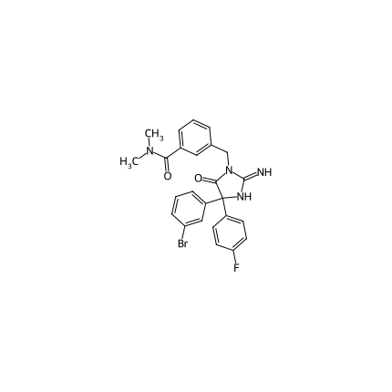 CN(C)C(=O)c1cccc(CN2C(=N)NC(c3ccc(F)cc3)(c3cccc(Br)c3)C2=O)c1